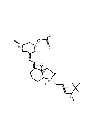 CC(=O)O[C@@H]1C/C(=C\C=C2/CCC[C@]3(C)[C@@H](C/C=C/[C@H](C)C(C)(C)C)CC[C@@H]23)C[C@@H](C)C1